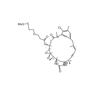 CSSCCOCCC(=O)O[C@H]1CC(=O)N(C)c2cc(cc(C)c2Cl)C/C(C)=C/C=C/[C@@H](C)[C@@]2(O)C[C@H](OC(=O)N2)[C@@H](C)[C@@H]2O[C@@]12C